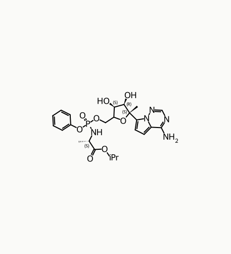 CC(C)OC(=O)[C@H](C)NP(=O)(OCC1O[C@@](C)(c2ccc3c(N)ncnn23)[C@H](O)[C@@H]1O)Oc1ccccc1